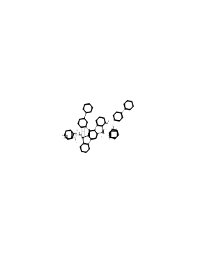 CC1(C)c2cc3c(c(-c4cc(-c5ccccc5)ccc4Nc4ccccc4)c2-c2cccc(N(c4ccccc4)c4ccc(-c5ccccc5)cc4)c21)C(C)(C)c1ccccc1-3